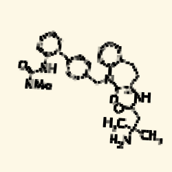 CNC(=O)Nc1ccccc1-c1ccc(CN2C(=O)[C@H](NC(=O)CC(C)(C)N)CCc3ccccc32)cc1